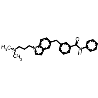 CN(C)CCCn1ccc2cc(Cc3cccc(C(=O)Nc4ccccc4)c3)ccc21